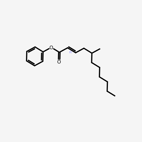 CCCCCCC(C)C/C=C/C(=O)Oc1ccccc1